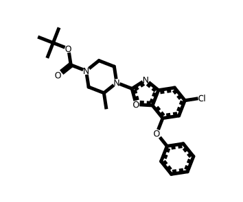 CC1CN(C(=O)OC(C)(C)C)CCN1c1nc2cc(Cl)cc(Oc3ccccc3)c2o1